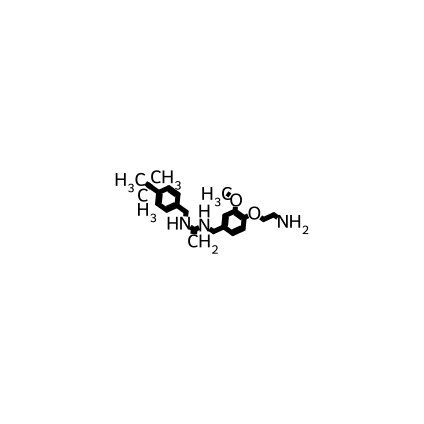 C=C(NCc1ccc(C(C)(C)C)cc1)NCc1ccc(OCCN)c(OC)c1